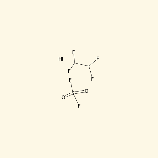 FC(F)C(F)F.I.O=S(=O)(F)F